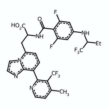 CCC(Nc1cc(F)c(C(=O)NC(Cc2ccc(-c3nccc(C)c3C(F)(F)F)c3nccn23)C(=O)O)c(F)c1)C(F)(F)F